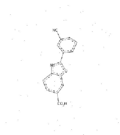 N#Cc1cccc(-c2nc3ccc(C(=O)O)cc3o2)c1